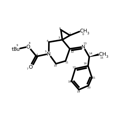 CC1CC12CN(C(=O)OC(C)(C)C)CC/C2=N\[C@@H](C)c1ccccc1